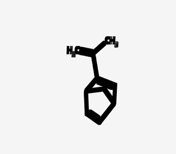 C=C(C)C1=CC2C=CC1C2